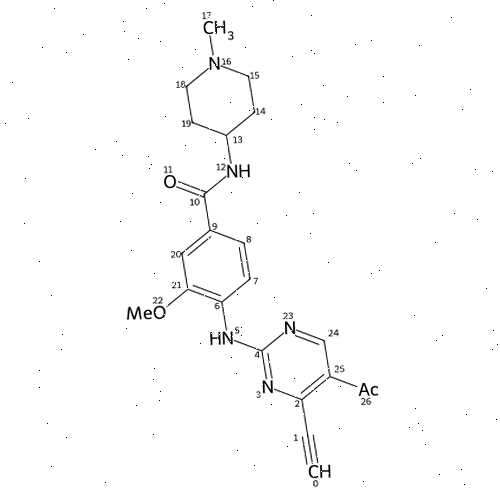 C#Cc1nc(Nc2ccc(C(=O)NC3CCN(C)CC3)cc2OC)ncc1C(C)=O